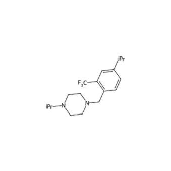 CC(C)c1ccc(CN2CCN(C(C)C)CC2)c(C(F)(F)F)c1